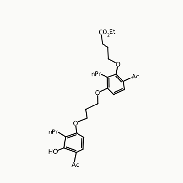 CCCc1c(OCCCOc2ccc(C(C)=O)c(OCCCC(=O)OCC)c2CCC)ccc(C(C)=O)c1O